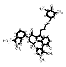 Cc1cc(OCCCc2c3n(c4c(-c5c(C)nn(C)c5C)c(Cl)ccc24)C(C)CN(c2cccc4c(C(=O)O)n(C)nc24)C3=O)cc(C)c1Cl